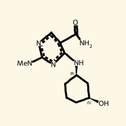 CNc1ncc(C(N)=O)c(N[C@@H]2CCC[C@H](O)C2)n1